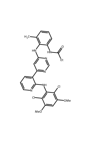 CCC(=O)Nc1cccc(C)c1Nc1cc(-c2cccnc2Nc2c(Cl)c(OC)cc(OC)c2Cl)ncn1